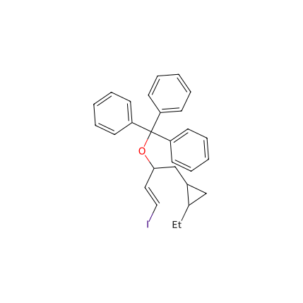 CCC1CC1CC(C=CI)OC(c1ccccc1)(c1ccccc1)c1ccccc1